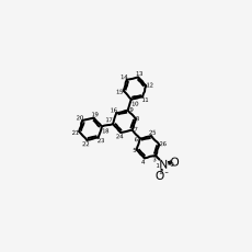 O=[N+]([O-])c1ccc(-c2cc(-c3ccccc3)cc(-c3ccccc3)c2)cc1